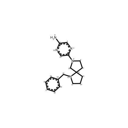 Nc1cnc(N2CCC3(CCCN3Cc3ccccc3)C2)cn1